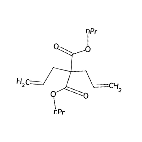 C=CCC(CC=C)(C(=O)OCCC)C(=O)OCCC